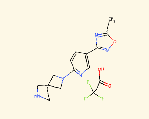 FC(F)(F)c1nc(-c2ccc(N3CC4(CNC4)C3)nc2)no1.O=C(O)C(F)(F)F